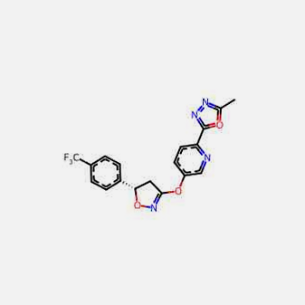 Cc1nnc(-c2ccc(OC3=NO[C@H](c4ccc(C(F)(F)F)cc4)C3)cn2)o1